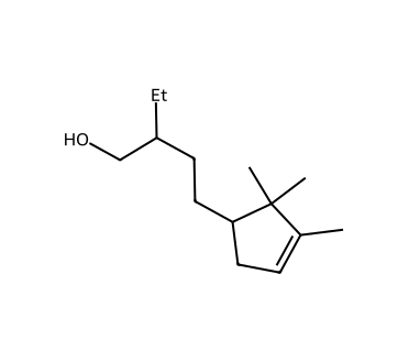 CCC(CO)CCC1CC=C(C)C1(C)C